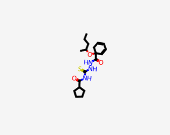 CCCC(C)OC1(C(=O)NNC(=S)NC(=O)C2CCCC2)C=CC=CC1